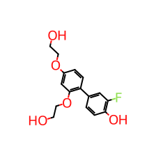 OCCOc1ccc(-c2ccc(O)c(F)c2)c(OCCO)c1